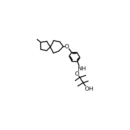 CC1CCC2(CCC(Oc3ccc(NOC(C)(C)C(C)(C)O)cc3)CC2)C1